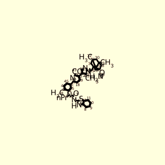 CCCN(C(=O)Nc1nc2ccccc2s1)c1cc(-c2ccc(-c3cnn(CC45CC6(C)CC(C)(C4)CC(ON)(C6)C5)c3C)c(C(=O)O)n2)ccc1C